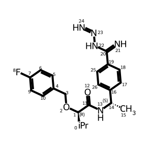 CC(C)[C@@H](OCc1ccc(F)cc1)C(=O)N[C@@H](C)c1ccc(C(=N)NN=N)cc1